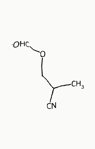 CC(C#N)CO[C]=O